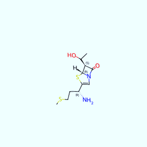 CSCC[C@@H](N)C1=CN2C(=O)[C@H](C(C)O)[C@H]2S1